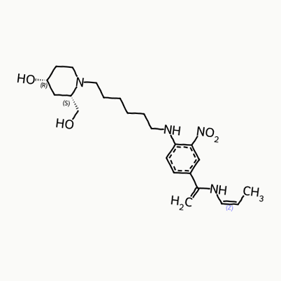 C=C(N/C=C\C)c1ccc(NCCCCCCN2CC[C@@H](O)C[C@H]2CO)c([N+](=O)[O-])c1